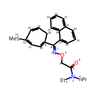 CCCN(CC)C(=O)CO/N=C(/C1=CC=C(SC)C=CC1)c1cccc2ccccc12